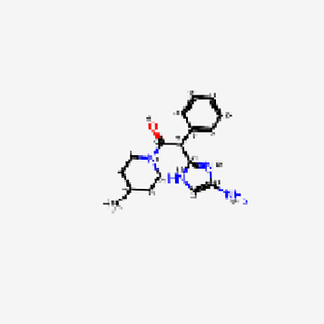 CC1CCN(C(=O)C(c2ccccc2)c2nc(N)c[nH]2)CC1